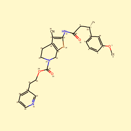 CCOc1cccc([C@@H](C)CC(=O)Nc2sc3c(c2C#N)CCN(C(=O)OCCc2cccnc2)C3)c1